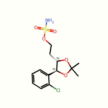 CC1(C)O[C@@H](CCOS(N)(=O)=O)[C@H](c2ccccc2Cl)O1